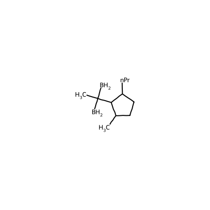 BC(B)(C)C1C(C)CCC1CCC